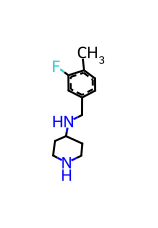 Cc1ccc(CNC2CCNCC2)cc1F